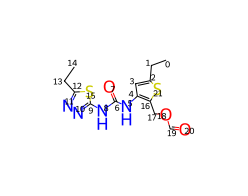 CCc1cc(NC(=O)Nc2nnc(CC)s2)c(COC=O)s1